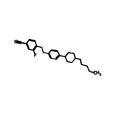 CCCCCC1CCC(c2ccc(CCc3ccc(C#N)cc3F)cc2)CC1